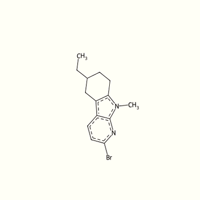 CCC1CCc2c(c3ccc(Br)nc3n2C)C1